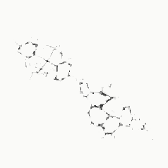 Cc1ccc(C(c2ccc(-c3nc4ccc5c(ccc6ccc7c(ccc8nc(C)oc87)c65)c4o3)cc2)(C(F)(F)F)C(F)(F)F)cc1